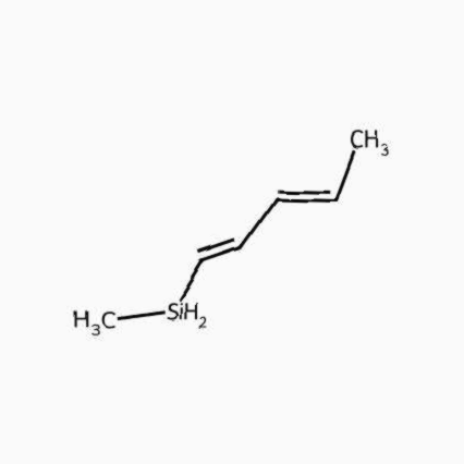 CC=CC=C[SiH2]C